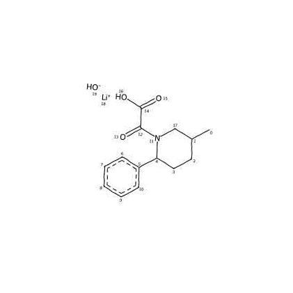 CC1CCC(c2ccccc2)N(C(=O)C(=O)O)C1.[Li+].[OH-]